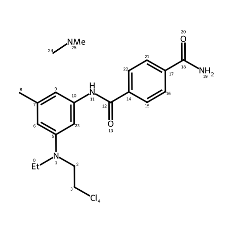 CCN(CCCl)c1cc(C)cc(NC(=O)c2ccc(C(N)=O)cc2)c1.CNC